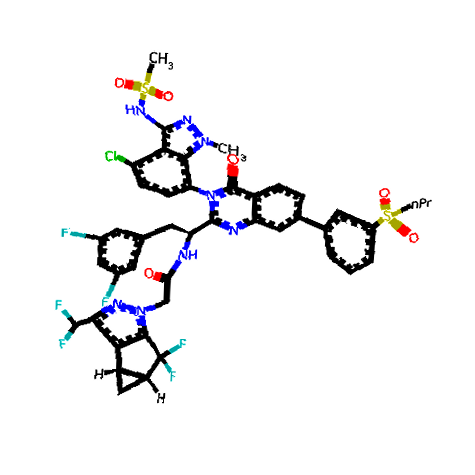 CCCS(=O)(=O)c1cccc(-c2ccc3c(=O)n(-c4ccc(Cl)c5c(NS(C)(=O)=O)nn(C)c45)c([C@H](Cc4cc(F)cc(F)c4)NC(=O)Cn4nc(C(F)F)c5c4C(F)(F)[C@@H]4C[C@H]54)nc3c2)c1